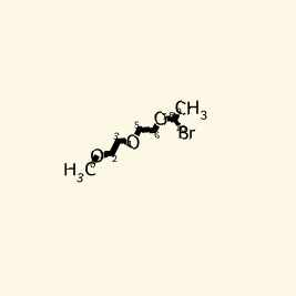 COCCOCCOC(C)Br